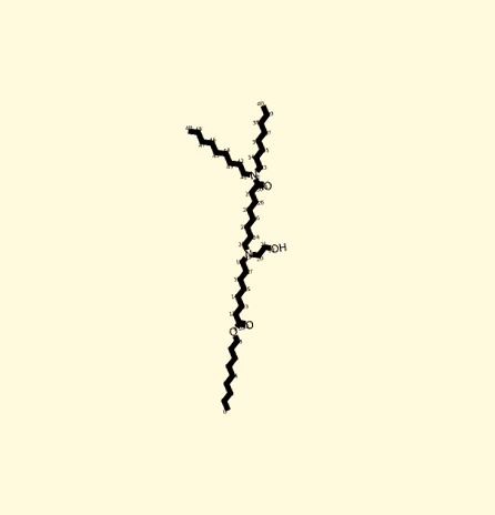 CCCCCCCCCOC(=O)CCCCCCCN(CCO)CCCCCCCC(=O)N(CCCCCCCC)CCCCCCCCC